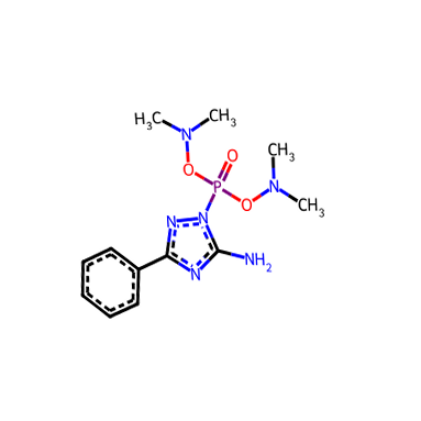 CN(C)OP(=O)(ON(C)C)n1nc(-c2ccccc2)nc1N